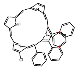 ClC1=Cc2cc3ccc(cc4nc(cc5c(-c6ccccc6)c(-c6ccccc6)c(c(-c6ccccc6)c1n2)n5-c1ccccc1)C=C4)[nH]3